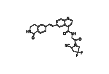 N#CC1CC(F)(F)CN1C(=O)CNC(=O)c1ccnc2ccc(/C=C/c3ccc4c(c3)CCNC4=O)cc12